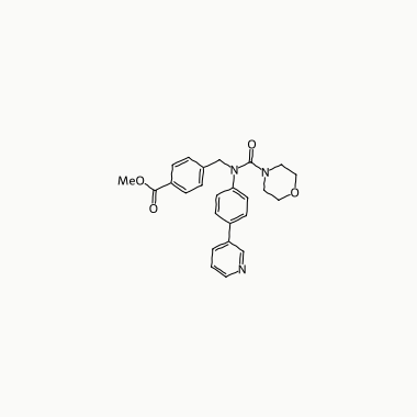 COC(=O)c1ccc(CN(C(=O)N2CCOCC2)c2ccc(-c3cccnc3)cc2)cc1